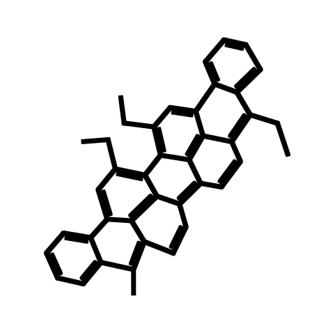 CCc1c2ccccc2c2cc(CC)c3c4c(CC)cc5c6ccccc6c(C)c6ccc(c7ccc1c2c73)c4c65